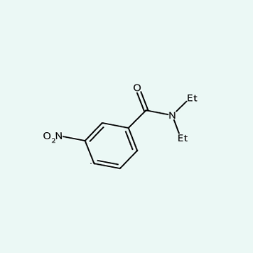 CCN(CC)C(=O)c1cc[c]c([N+](=O)[O-])c1